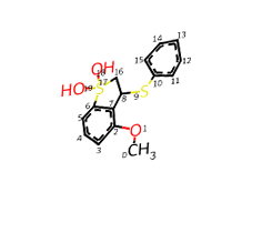 COc1cccc2c1C(Sc1ccccc1)CS2(O)O